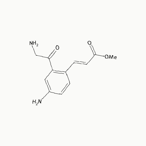 COC(=O)C=Cc1ccc(N)cc1C(=O)CN